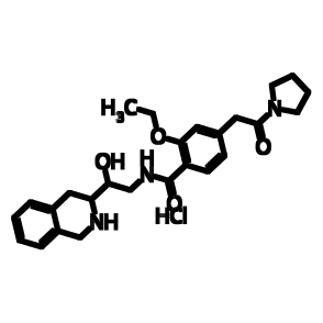 CCOc1cc(CC(=O)N2CCCC2)ccc1C(=O)NCC(O)C1Cc2ccccc2CN1.Cl